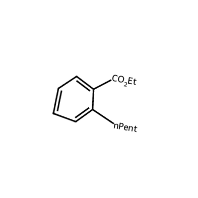 CC[CH]CCc1ccccc1C(=O)OCC